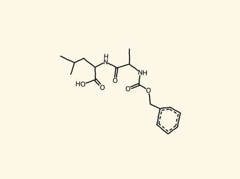 CC(C)CC(NC(=O)C(C)NC(=O)OCc1ccccc1)C(=O)O